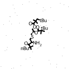 CCCCC(C)(C)C(=O)C(N)CSC[C@@H](COC(=O)C(C)(C)CC(C)(C)C)OC(=O)C(C)(C)C(C)(C)C